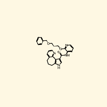 O=C(Nc1cccnc1OCCCOCc1ccccc1)c1c[nH]c2c1-c1ncccc1CCC2